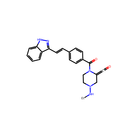 CCNN1CCN(C(=O)c2ccc(C=Cc3n[nH]c4ccccc34)cc2)C(=C=O)C1